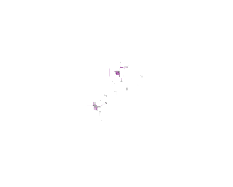 C1CCC2(CCCC34CCCCC(CC3)P4)CCC(C1)P2